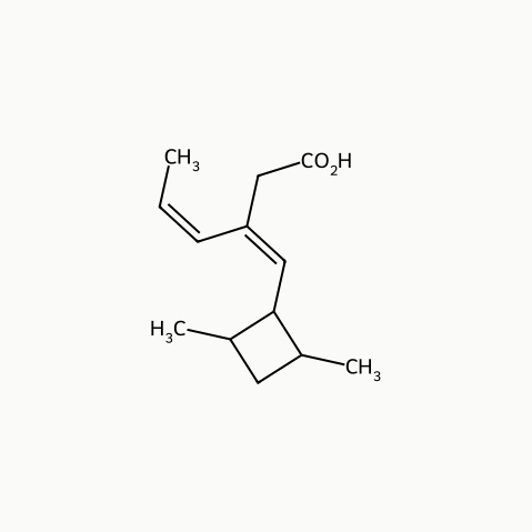 C/C=C\C(=C/C1C(C)CC1C)CC(=O)O